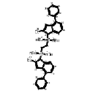 CCC[CH2][Hf]([CH2]CCC)([CH2][CH2][Hf]([CH2]CCC)([CH2]CCC)[CH]1C(CC)=Cc2c(-c3ccccc3)cccc21)[CH]1C(CC)=Cc2c(-c3ccccc3)cccc21